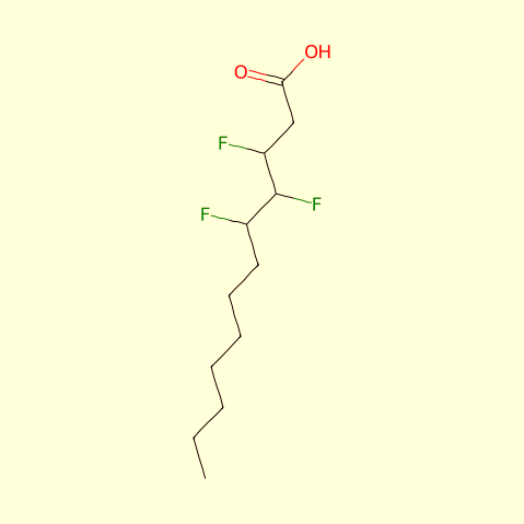 CCCCCCCC(F)C(F)C(F)CC(=O)O